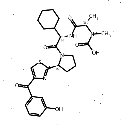 C[C@@H](C(=O)N[C@H](C(=O)N1CCC[C@H]1c1nc(C(=O)c2cccc(O)c2)cs1)C1CCCCC1)N(C)C(=O)O